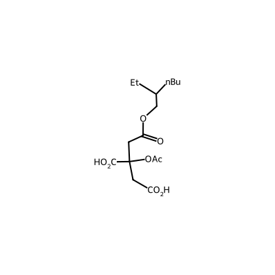 CCCCC(CC)COC(=O)CC(CC(=O)O)(OC(C)=O)C(=O)O